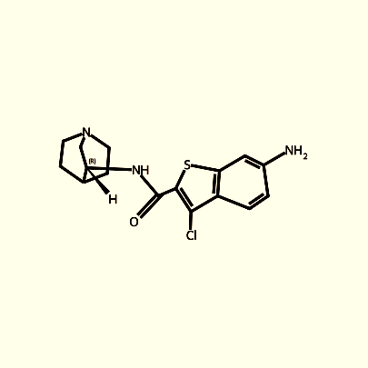 Nc1ccc2c(Cl)c(C(=O)N[C@H]3CN4CCC3CC4)sc2c1